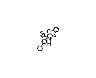 Clc1ccccc1SC1CCC(c2ccc(C3CCCCC3)cc2)(c2ccsc2)NC1